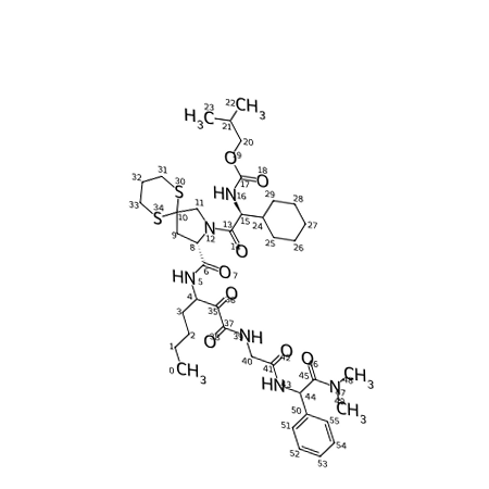 CCCCC(NC(=O)[C@@H]1CC2(CN1C(=O)[C@@H](NC(=O)OCC(C)C)C1CCCCC1)SCCCS2)C(=O)C(=O)NCC(=O)NC(C(=O)N(C)C)c1ccccc1